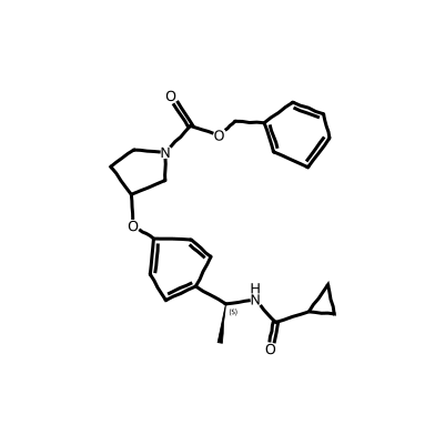 C[C@H](NC(=O)C1CC1)c1ccc(OC2CCN(C(=O)OCc3ccccc3)C2)cc1